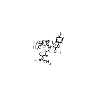 CC(Oc1ccc(I)cc1)C(C)N(CCCC(=O)N(C)C)C(=O)OC(C)(C)C